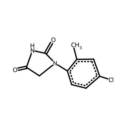 Cc1cc(Cl)ccc1N1CC(=O)NC1=O